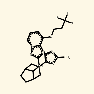 Cc1ncc(N2CC3CCC(C2)C3Nc2nc3c(OCCC(F)(F)F)cccn3n2)s1